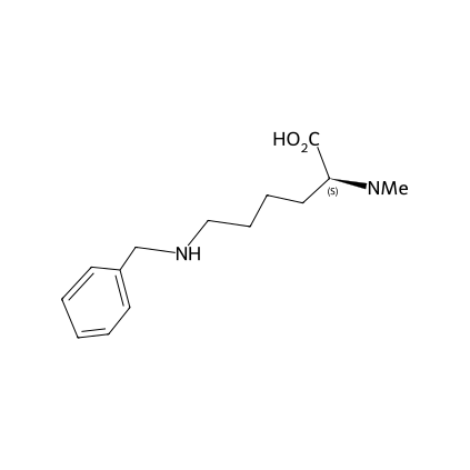 CN[C@@H](CCCCNCc1ccccc1)C(=O)O